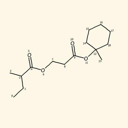 CCC(C)C(=O)OCCC(=O)OC1(C)CCCCC1